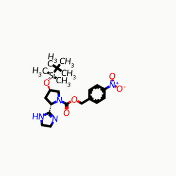 CC(C)(C)[Si](C)(C)O[C@@H]1C[C@@H](C2=NCCN2)N(C(=O)OCc2ccc([N+](=O)[O-])cc2)C1